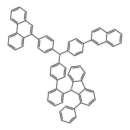 c1ccc(-c2cccc3c4ccccc4n(-c4ccccc4-c4ccc(N(c5ccc(-c6ccc7ccccc7c6)cc5)c5ccc(-c6cc7ccccc7c7ccccc67)cc5)cc4)c23)cc1